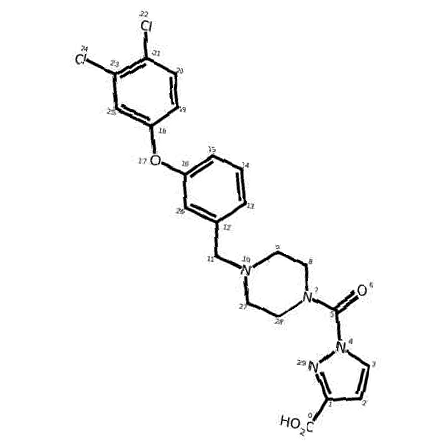 O=C(O)c1ccn(C(=O)N2CCN(Cc3cccc(Oc4ccc(Cl)c(Cl)c4)c3)CC2)n1